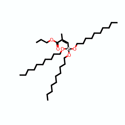 CCCCCCCCCCO[Si](C=C(C)C(=O)OCCC)(OCCCCCCCCCC)OCCCCCCCCCC